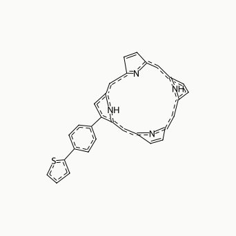 C1=Cc2cc3cc(-c4ccc(-c5cccs5)cc4)c(cc4nc(cc5ccc(cc1n2)[nH]5)C=C4)[nH]3